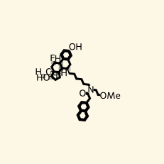 COCCN(CCCCCC[C@@H]1Cc2cc(O)ccc2[C@@H]2[C@@H]1[C@@H]1CC[C@H](O)[C@@]1(C)C[C@@H]2F)C(=O)Cc1ccc2ccccc2c1